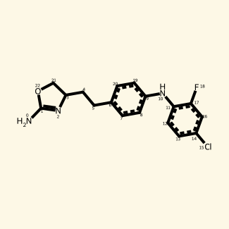 NC1=NC(CCc2ccc(Nc3ccc(Cl)cc3F)cc2)CO1